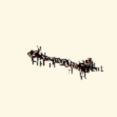 CCCCC[C@H](NC(=O)[C@H](CCCCNC(=O)OCc1ccccc1)NC(=O)OCc1ccccc1)C(=O)NCCCOCCOCCOCCCNC(=O)CCOCCOCCOCCOCCOCCC(=O)NCCCOCCOCCOCCCNC(=O)CNC(=O)[C@H](CCCCNC(=O)OCc1ccccc1)NC(=O)OCc1ccccc1